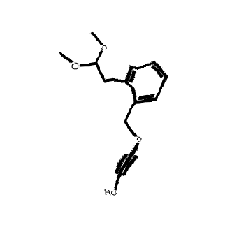 COC(Cc1ccccc1COC#CO)OC